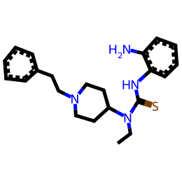 CCN(C(=S)Nc1ccccc1N)C1CCN(CCc2ccccc2)CC1